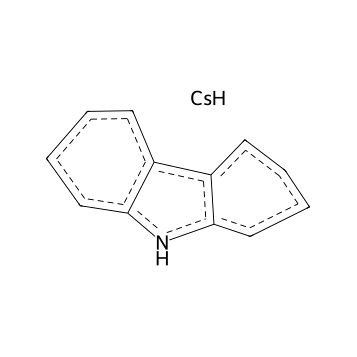 [CsH].c1ccc2c(c1)[nH]c1ccccc12